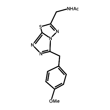 COc1ccc(Cc2nnc3sc(CNC(C)=O)nn23)cc1